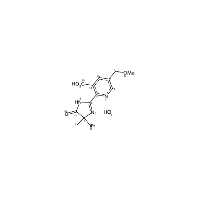 COCc1cnc(C2=NC(C)(C(C)C)C(=O)N2)c(C(=O)O)c1.Cl